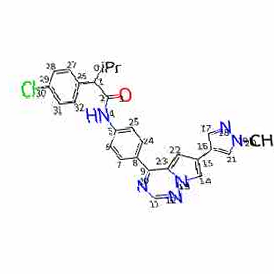 CC(C)C(C(=O)Nc1ccc(-c2ncnn3cc(-c4cnn(C)c4)cc23)cc1)c1ccc(Cl)cc1